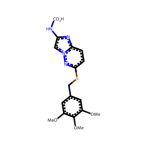 COc1cc(CSc2ccc3nc(NC(=O)O)cn3n2)cc(OC)c1OC